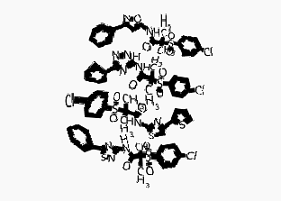 CC(C)(C(=O)Nc1cc(-c2ccccc2)no1)S(=O)(=O)c1ccc(Cl)cc1.CC(C)(C(=O)Nc1nc(-c2ccccc2)n[nH]1)S(=O)(=O)c1ccc(Cl)cc1.CC(C)(C(=O)Nc1nc(-c2cccs2)cs1)S(=O)(=O)c1ccc(Cl)cc1.CC(C)(C(=O)Nc1nsc(-c2ccccc2)n1)S(=O)(=O)c1ccc(Cl)cc1